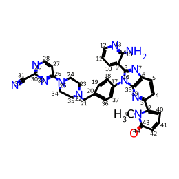 Cn1c(-c2ccc3nc(-c4cccnc4N)n(-c4ccc(CN5CCN(c6ccnc(C#N)n6)CC5)cc4)c3n2)cccc1=O